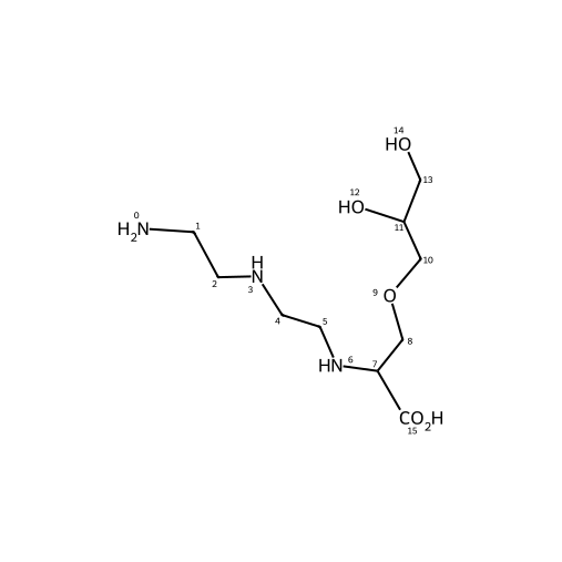 NCCNCCNC(COCC(O)CO)C(=O)O